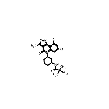 Cc1onc2c1c(=O)n(C1CCCC(NC(=O)C(C)(C)N)C1)c1cccc(Cl)c21.Cl